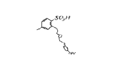 CCCOCCOCCc1cc(C)ccc1S(=O)(=O)O